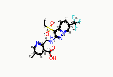 CCS(=O)(=O)c1c(NCc2ncc(C)cc2C(=O)O)nn2cc(C(F)(F)F)ccc12